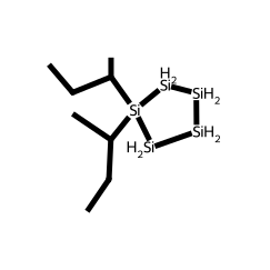 CCC(C)[Si]1(C(C)CC)[SiH2][SiH2][SiH2][SiH2]1